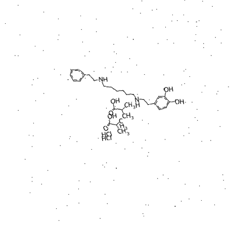 CC(C)C(=O)O.CC(C)C(=O)O.Cl.Cl.Oc1ccc(CCNCCCCCCNCCc2ccccc2)cc1O